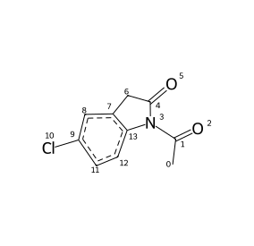 CC(=O)N1C(=O)Cc2cc(Cl)ccc21